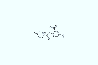 COc1ccc(NC(=O)C2CSC(=O)CN2)c([N+](=O)[O-])c1